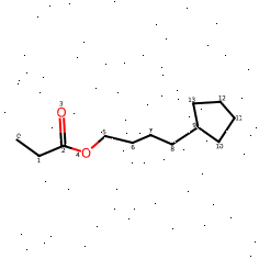 CCC(=O)OCCCCC1CCCC1